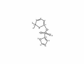 CC1(C)C=CC=C(OS(=O)(=O)c2ccco2)C1